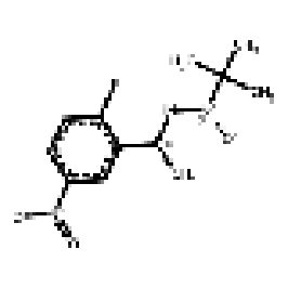 C[C@H](N[S@@+]([O-])C(C)(C)C)c1cc([N+](=O)[O-])ccc1F